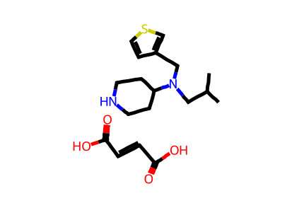 CC(C)CN(Cc1ccsc1)C1CCNCC1.O=C(O)C=CC(=O)O